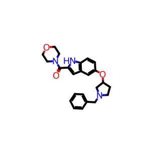 O=C(c1cc2cc(OC3CCN(Cc4ccccc4)C3)ccc2[nH]1)N1CCOCC1